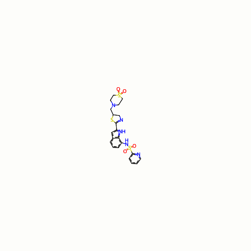 O=S1(=O)CCN(CC2CN=C(c3cc4cccc(NS(=O)(=O)c5ccccn5)c4[nH]3)S2)CC1